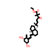 C=C1/C(=C\C=C2/CCC[C@]3(C)[C@@H](C(C)(C)/C=C/C(=O)C(C)(C)C(=O)OCC)CC[C@@H]23)C[C@@H](O)C[C@@H]1O